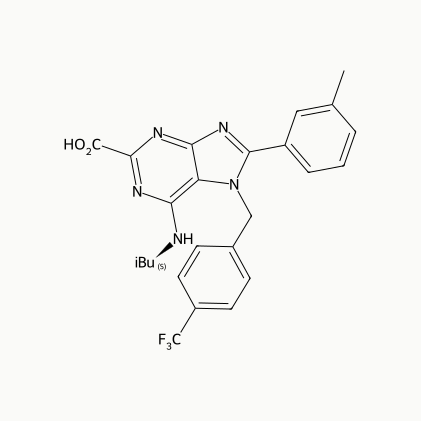 CC[C@H](C)Nc1nc(C(=O)O)nc2nc(-c3cccc(C)c3)n(Cc3ccc(C(F)(F)F)cc3)c12